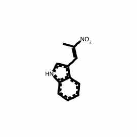 CC(=Cc1c[nH]c2ccccc12)[N+](=O)[O-]